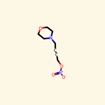 O=[N+]([O-])OCCCCN1CCOCC1